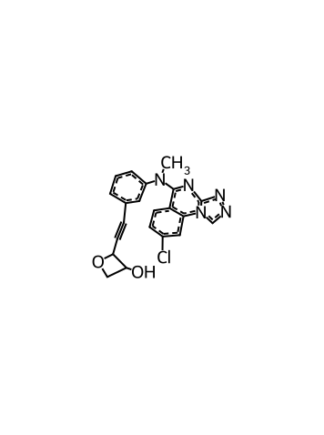 CN(c1cccc(C#CC2OCC2O)c1)c1nc2nncn2c2cc(Cl)ccc12